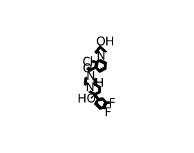 O=C(c1cccc(N2CC(O)C2)c1Cl)N1CCN2C[C@@](O)(c3ccc(F)c(F)c3)CC[C@@H]2C1